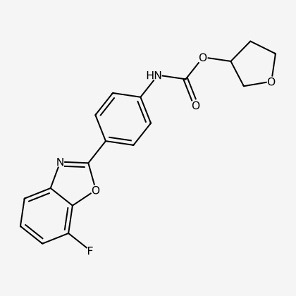 O=C(Nc1ccc(-c2nc3cccc(F)c3o2)cc1)OC1CCOC1